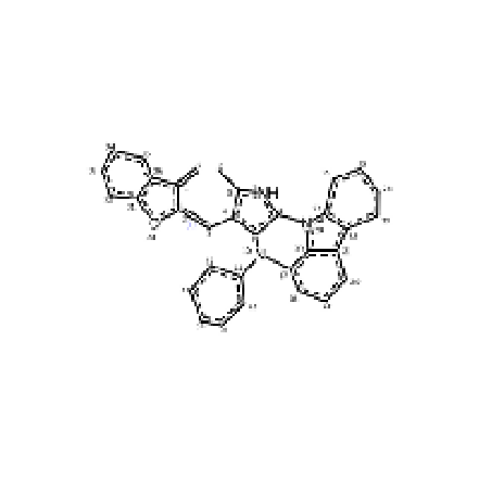 C=c1/c(=C\c2c(C)[nH]c3c2N(c2ccccc2)c2cccc4c5ccccc5n-3c24)oc2ccccc12